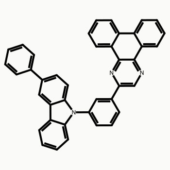 c1ccc(-c2ccc3c(c2)c2ccccc2n3-c2cccc(-c3cnc4c5ccccc5c5ccccc5c4n3)c2)cc1